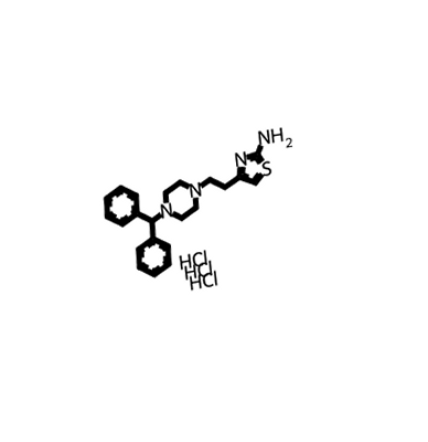 Cl.Cl.Cl.Nc1nc(CCN2CCN(C(c3ccccc3)c3ccccc3)CC2)cs1